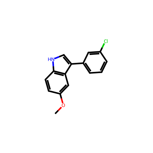 COc1ccc2[nH]cc(-c3cccc(Cl)c3)c2c1